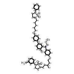 CCO/N=C(/c1ccc(OCCC(C)CCN2CCN(c3ccnc(N)c3)S2(=O)=O)cc1)c1cc(-c2ccc(OCCCCCN3CCN(c4ccncc4)S3(=O)=O)cc2)ccc1Cl